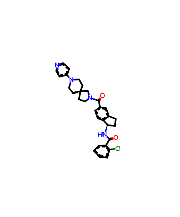 O=C(N[C@@H]1CCc2cc(C(=O)N3CCC4(CCN(c5ccncc5)CC4)C3)ccc21)c1ccccc1Cl